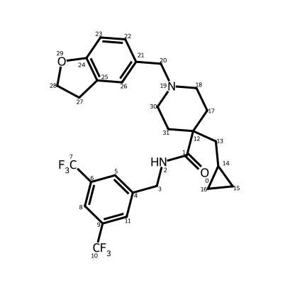 O=C(NCc1cc(C(F)(F)F)cc(C(F)(F)F)c1)C1(CC2CC2)CCN(Cc2ccc3c(c2)CCO3)CC1